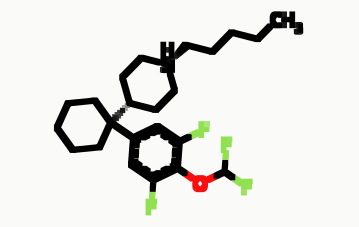 CCCCC[Si@H]1CC[C@H](C2(c3cc(F)c(OC(F)F)c(F)c3)CCCCC2)CC1